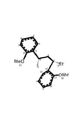 CC[C@@H](C[C@H](C)c1ccccc1OC)c1ccccc1OC